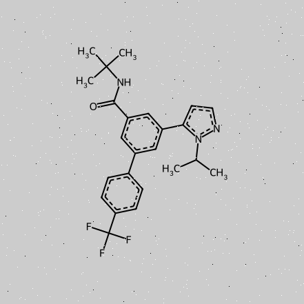 CC(C)n1nccc1-c1cc(C(=O)NC(C)(C)C)cc(-c2ccc(C(F)(F)F)cc2)c1